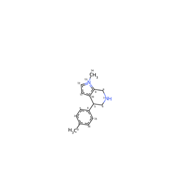 Cc1ccc(C2CNCc3c2ccn3C)cc1